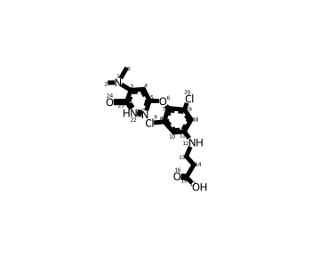 CN(C)c1cc(Oc2c(Cl)cc(NCCC(=O)O)cc2Cl)n[nH]c1=O